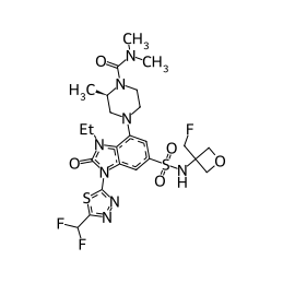 CCn1c(=O)n(-c2nnc(C(F)F)s2)c2cc(S(=O)(=O)NC3(CF)COC3)cc(N3CCN(C(=O)N(C)C)[C@H](C)C3)c21